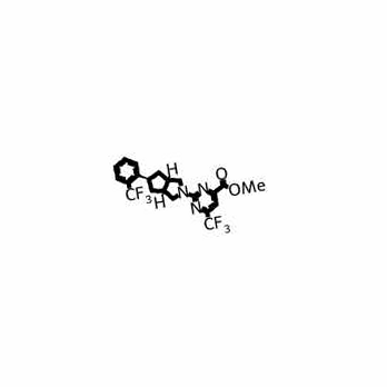 COC(=O)c1cc(C(F)(F)F)nc(N2C[C@H]3C[C@@H](c4ccccc4C(F)(F)F)C[C@H]3C2)n1